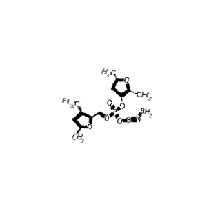 BN=BOP(=O)(OC[C@H]1O[C@@H](C)C[C@H]1C)O[C@@H]1C[C@H](C)O[C@@H]1C